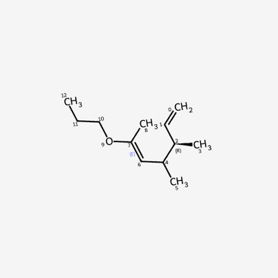 C=C[C@@H](C)C(C)/C=C(\C)OCCC